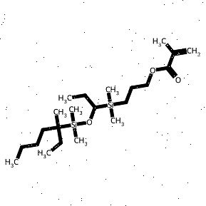 C=C(C)C(=O)OCCC[Si](C)(C)C(CC)O[Si](C)(C)C(C)(CC)CCCC